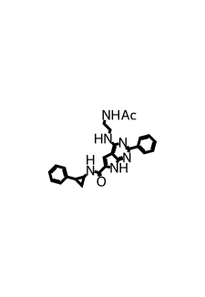 CC(=O)NCCNc1nc(-c2ccccc2)nc2[nH]c(C(=O)NC3CC3c3ccccc3)cc12